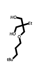 CCC(CO)(CO)COCCCC(C)(C)C